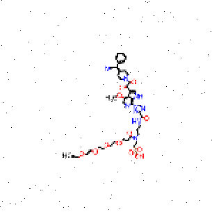 C#CCOCCOCCOCCOCCC(=O)N(CCCNC(=O)c1ncn(-c2ncc(OC)c3c(C(=O)C(=O)N4CCC(=C(C#N)c5ccccc5)CC4)c[nH]c23)n1)CCS(=O)(=O)O